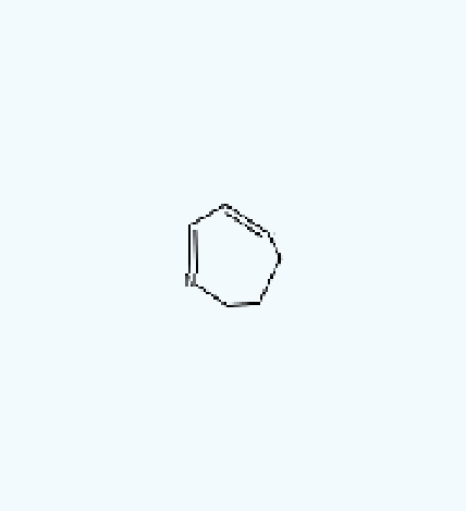 [C]1=CC=NCCC1